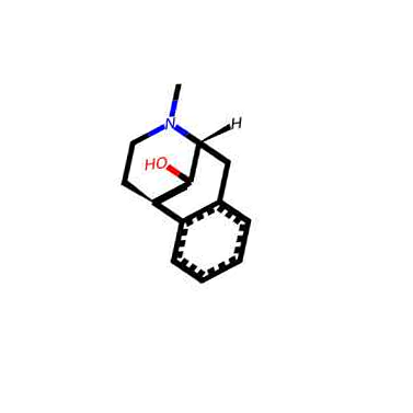 CN1CC[C@]23CCCCC2(O)[C@H]1Cc1ccccc13